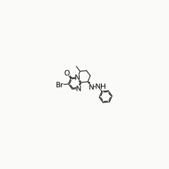 CC1CC/C(=N\Nc2ccccc2)c2ncc(Br)c(=O)n21